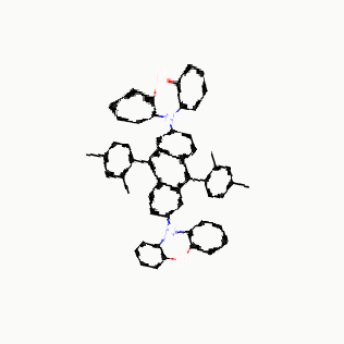 Cc1ccc(-c2c3ccc(N4c5ccccc5Oc5ccccc54)cc3c(-c3ccc(C)cc3C)c3ccc(N4c5ccccc5Oc5ccccc54)cc23)c(C)c1